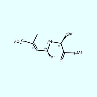 CNC(=O)[C@@H](N[C@H](/C=C(\C)C(=O)O)C(C)C)C(C)(C)C